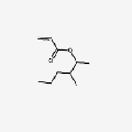 C=CC(=O)OC(C)C(C)CCC